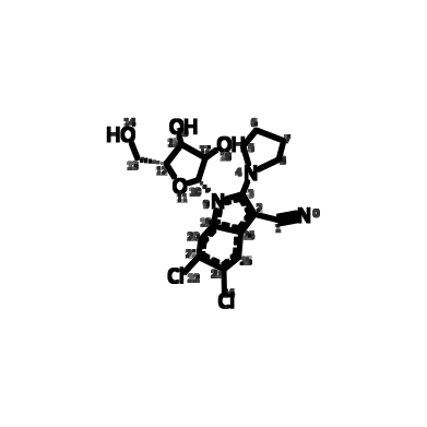 N#Cc1c(N2CCCC2)n([C@@H]2O[C@H](CO)C(O)C2O)c2cc(Cl)c(Cl)cc12